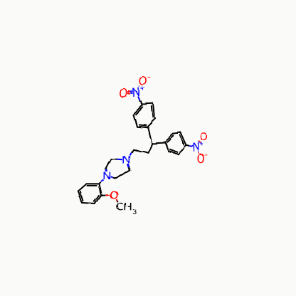 COc1ccccc1N1CCN(CCC(c2ccc([N+](=O)[O-])cc2)c2ccc([N+](=O)[O-])cc2)CC1